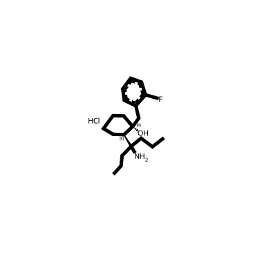 CCCC(N)(CCC)[C@H]1CCCC[C@@]1(O)Cc1ccccc1F.Cl